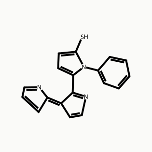 Sc1ccc(C2=NC=CC2=C2C=CC=N2)n1-c1ccccc1